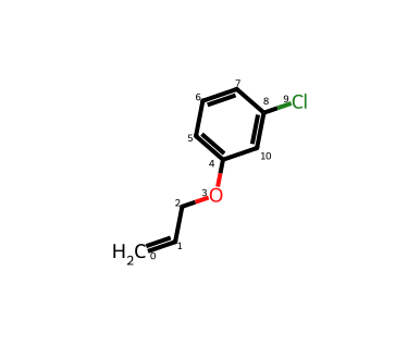 C=CCOc1cccc(Cl)c1